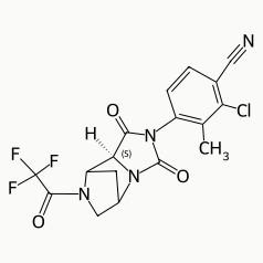 Cc1c(N2C(=O)[C@@H]3C4CC(CN4C(=O)C(F)(F)F)N3C2=O)ccc(C#N)c1Cl